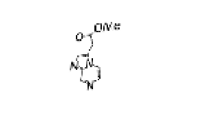 COC(=O)Cc1cnc2cnccn12